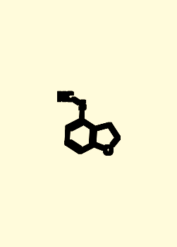 N#CSc1cccc2c1CCO2